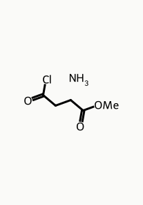 COC(=O)CCC(=O)Cl.N